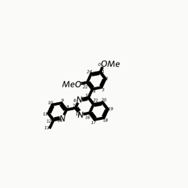 COc1ccc(-c2nc(-c3cccc(C)n3)nc3ccccc23)c(OC)c1